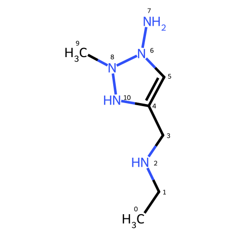 CCNCC1=CN(N)N(C)N1